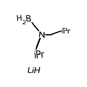 BN(C(C)C)C(C)C.[LiH]